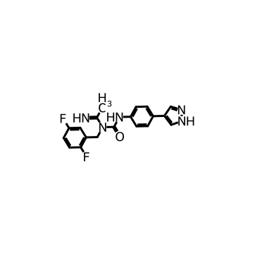 CC(=N)N(Cc1cc(F)ccc1F)C(=O)Nc1ccc(-c2cn[nH]c2)cc1